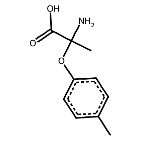 Cc1ccc(OC(C)(N)C(=O)O)cc1